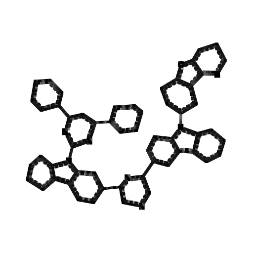 c1ccc(-c2cc(-c3ccccc3)nc(-n3c4ccccc4c4ccc(-c5cncc(-c6ccc7c(c6)c6ccccc6n7-c6ccc7oc8cccnc8c7c6)n5)cc43)n2)cc1